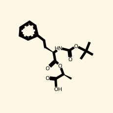 C[C@H](OC(=O)[C@@H](CCc1ccccc1)NC(=O)OC(C)(C)C)C(=O)O